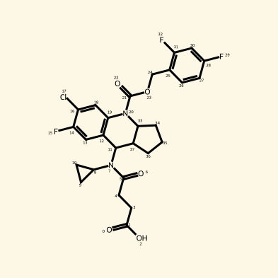 O=C(O)CCC(=O)N(C1CC1)C1c2cc(F)c(Cl)cc2N(C(=O)OCc2ccc(F)cc2F)C2CCCC21